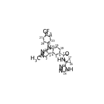 Cn1cc2c3cc(C(=O)NC4(c5nnc[nH]5)CC4)ccc3n(-c3ccc(C(F)(F)F)cc3)c2n1